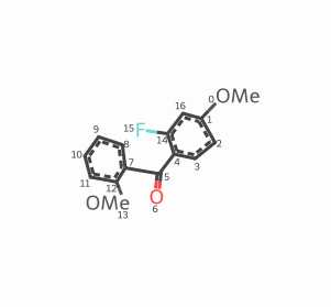 COc1ccc(C(=O)c2ccccc2OC)c(F)c1